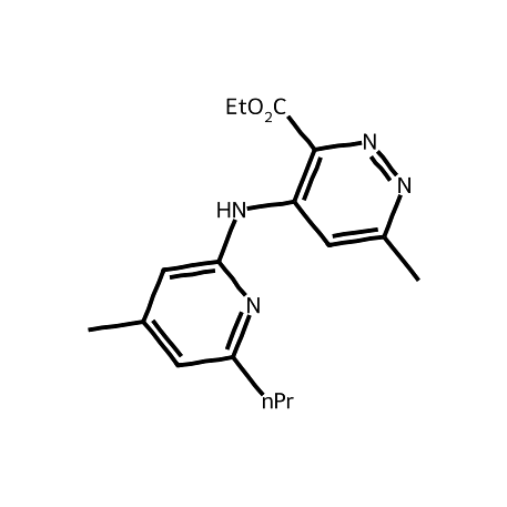 CCCc1cc(C)cc(Nc2cc(C)nnc2C(=O)OCC)n1